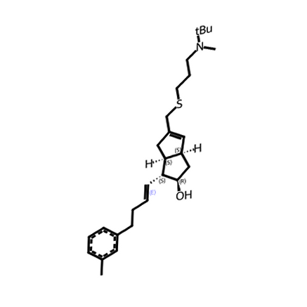 Cc1cccc(CC/C=C/[C@@H]2[C@H]3CC(CSCCCN(C)C(C)(C)C)=C[C@H]3C[C@H]2O)c1